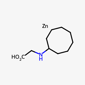 O=C(O)CNC1CCCCCCC1.[Zn]